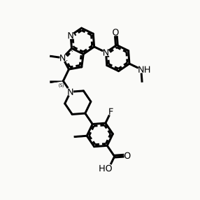 CNc1ccn(-c2ccnc3c2cc([C@H](C)N2CCC(c4c(C)cc(C(=O)O)cc4F)CC2)n3C)c(=O)c1